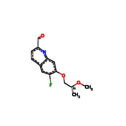 CO[C@H](C)COc1cc2nc(C=O)ccc2cc1F